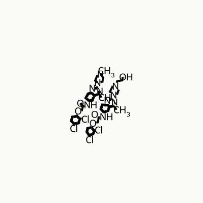 Cc1nc(N2CCN(C)CC2)nc2ccc(NC(=O)COc3ccc(Cl)cc3Cl)cc12.Cc1nc(N2CCN(CCO)CC2)nc2ccc(NC(=O)COc3ccc(Cl)cc3Cl)cc12